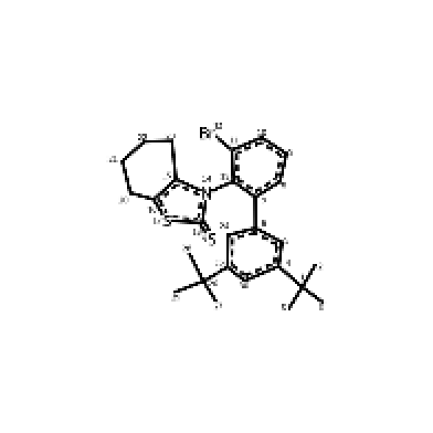 CC(C)(C)c1cc(-c2cccc(Br)c2-n2c3c(sc2=S)CCCC3)cc(C(C)(C)C)c1